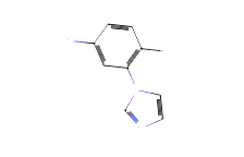 Nc1ccc(C(=O)O)c(-n2ccnc2)c1